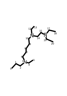 CCCN(CC)CCCCCN(CC)CCN(CC)CC